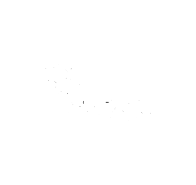 CN1CCN(c2ccc(CNC(=O)n3sc4ncccc4c3=O)cc2)CC1